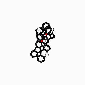 c1ccc2c(c1)Oc1ccc(N(c3cccc4c3C3(c5ccccc5O4)c4ccccc4-c4ccccc43)c3cccc4oc5ccccc5c34)cc1C21c2ccccc2-c2ccccc21